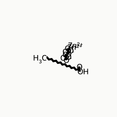 CCCCCCCCCCCCCCCC(=O)O.O=S(=O)([O-])[O-].O=S(=O)([O-])[O-].[Zn+2].[Zn+2]